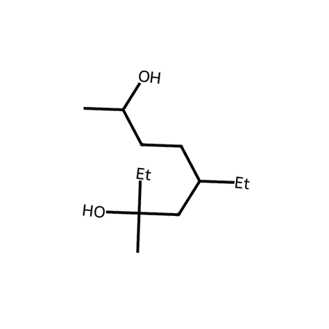 CCC(CCC(C)O)CC(C)(O)CC